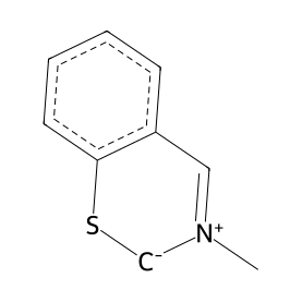 C[N+]1=Cc2ccccc2S[CH-]1